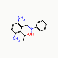 CC(O)c1c(N)ccc(N)c1CNc1ccccc1